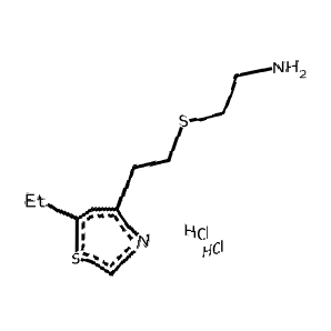 CCc1scnc1CCSCCN.Cl.Cl